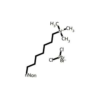 CCCCCCCCCCCCCCCC[N+](C)(C)C.[Br-].[Cl][Pb][Cl]